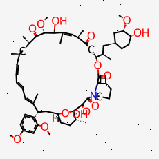 COc1ccc([C@H]2C[C@@H]3CC[C@@H](C)[C@@](O)(O3)C(=O)C(=O)N3CCCC[C@H]3C(=O)O[C@H]([C@H](C)C[C@@H]3CC[C@@H](O)[C@H](OC)C3)CC(=O)[C@H](C)/C=C(\C)[C@H](O)[C@@H](OC)C(=O)[C@H](C)C[C@H](C)/C=C/C=C/C=C/2C)c(OC)c1